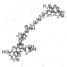 CCc1c(F)ccc2cc(O)cc(-c3ncc4c(N5CCC[C@@](C)(O)C5)nc(OC[C@@]56CCCN5[C@H](COC(=O)NCCOCCOCCOc5ccc7c(c5)n(C)c(=O)n7C5CCC(=O)NC5=O)CC6)nc4c3F)c12